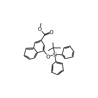 COC(=O)c1cc(O[Si](c2ccccc2)(c2ccccc2)C(C)(C)C)c2ccccc2c1